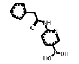 O=C(Cc1ccccc1)Nc1ccc(B(O)O)cn1